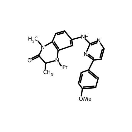 COc1ccc(-c2ccnc(Nc3ccc4c(c3)N(C(C)C)C(C)C(=O)N4C)n2)cc1